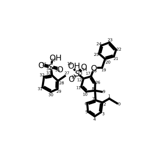 CCc1ccccc1C1(C)C=CC(S(=O)(=O)O)C(OCc2ccccc2)=C1.Cc1ccccc1S(=O)(=O)O